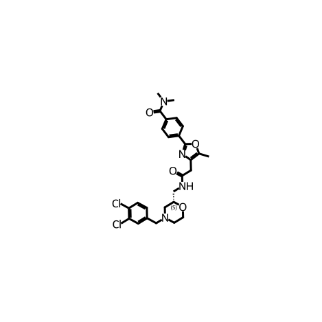 Cc1oc(-c2ccc(C(=O)N(C)C)cc2)nc1CC(=O)NC[C@H]1CN(Cc2ccc(Cl)c(Cl)c2)CCO1